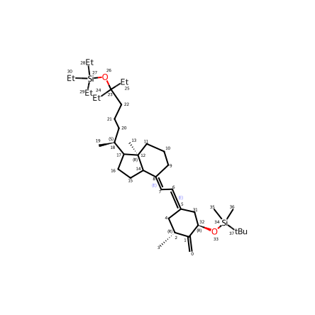 C=C1[C@H](C)C/C(=C\C=C2/CCC[C@@]3(C)C2CCC3[C@@H](C)CCCC(CC)(CC)O[Si](CC)(CC)CC)C[C@H]1O[Si](C)(C)C(C)(C)C